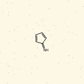 N=C1C=CC=C1